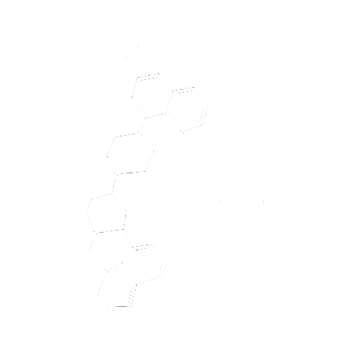 COc1cc(N2CCN(C3CCN(F)C(c4cccc5cccnc45)C3)CC2)c2ncccc2c1.Cl.Cl.Cl.O.O